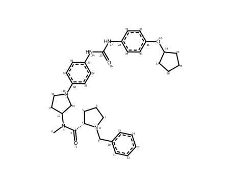 CN(C(=O)[C@@H]1CCCN1Cc1ccccc1)C1CCN(c2ccc(NC(=O)Nc3ccc(OC4CCCC4)cc3)cc2)C1